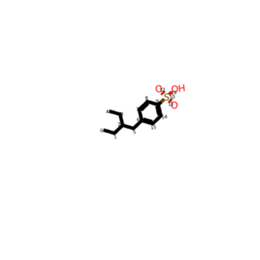 CCC(CC)Cc1ccc(S(=O)(=O)O)cc1